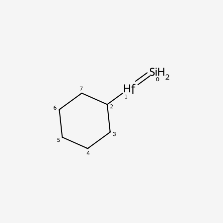 [SiH2]=[Hf][CH]1CCCCC1